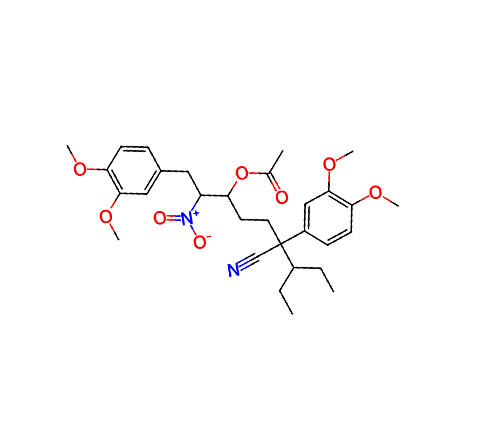 CCC(CC)C(C#N)(CCC(OC(C)=O)C(Cc1ccc(OC)c(OC)c1)[N+](=O)[O-])c1ccc(OC)c(OC)c1